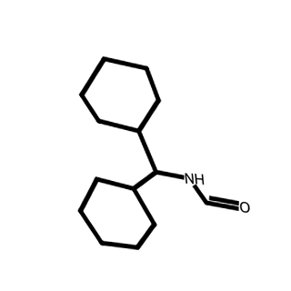 O=CNC(C1CCCCC1)C1CCCCC1